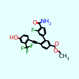 CCOC(=O)c1ccc(C#Cc2ccc(O)cc2C(F)(F)F)c(-c2ccc(C(N)=O)c(F)c2)c1